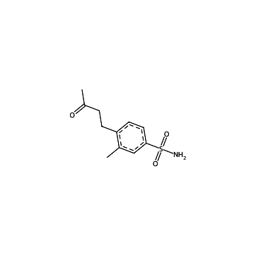 CC(=O)CCc1ccc(S(N)(=O)=O)cc1C